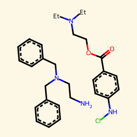 CCN(CC)CCOC(=O)c1ccc(NCl)cc1.NCCN(Cc1ccccc1)Cc1ccccc1